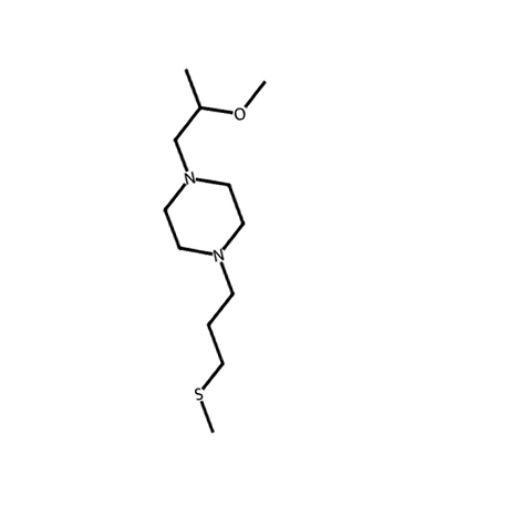 COC(C)CN1CCN(CCCSC)CC1